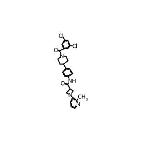 Cc1ncccc1N1CC(C(=O)Nc2ccc(C3CCN(C(=O)c4cc(Cl)cc(Cl)c4)CC3)cc2)C1